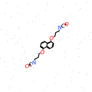 O=C=NCCCOc1cccc2c(OCCCN=C=O)cccc12